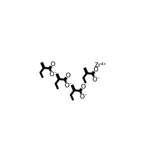 C=C(CC)C(=O)[O-].C=C(CC)C(=O)[O-].C=C(CC)C(=O)[O-].C=C(CC)C(=O)[O-].[Zr+4]